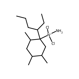 CCCC(CC)C1([N+](N)(Cl)Cl)CC(C)C(C)CC1C